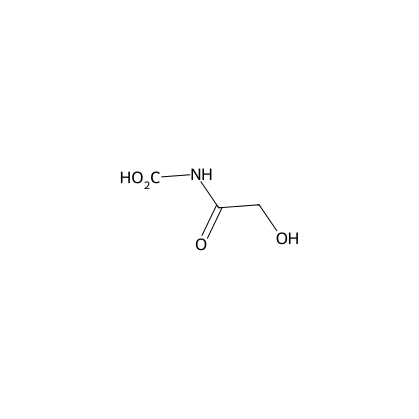 O=C(O)NC(=O)CO